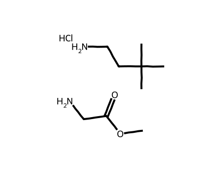 CC(C)(C)CCN.COC(=O)CN.Cl